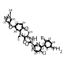 CN1C(=O)[C@@H](NC(=O)c2ncc(Cl)c(-c3cc(P)ccc3F)n2)COc2ccc(Oc3cnn(C)c3)cc21